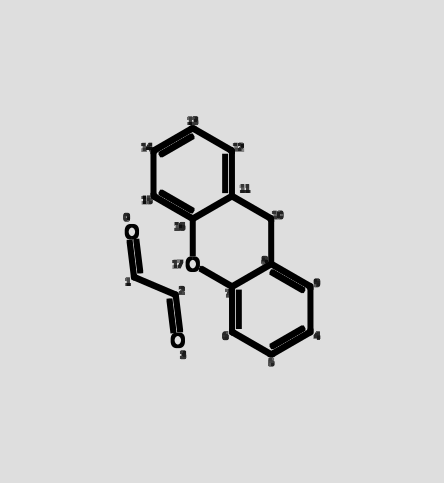 O=CC=O.c1ccc2c(c1)Cc1ccccc1O2